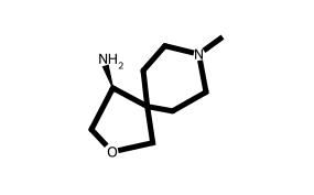 CN1CCC2(CC1)COC[C@H]2N